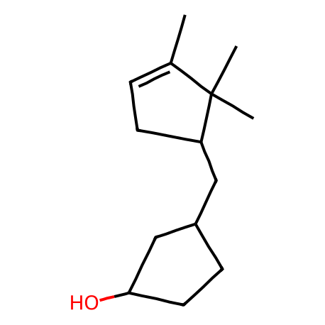 CC1=CCC(CC2CCC(O)C2)C1(C)C